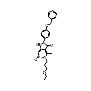 CCOCCCN(C)/C(C)=c1/c(=O)n(-c2ccc(OCc3ccccc3)cc2)[nH]/c1=C/C=O